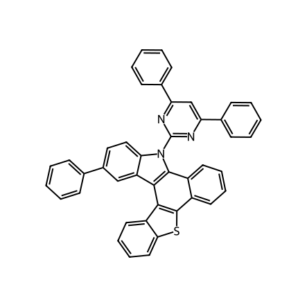 c1ccc(-c2ccc3c(c2)c2c4c5ccccc5sc4c4ccccc4c2n3-c2nc(-c3ccccc3)cc(-c3ccccc3)n2)cc1